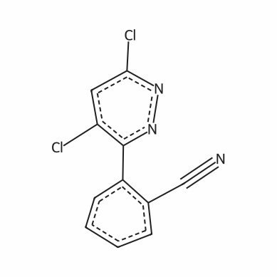 N#Cc1ccccc1-c1nnc(Cl)cc1Cl